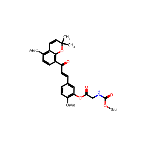 COc1ccc(C=CC(=O)c2ccc(OC)c3c2OC(C)(C)C=C3)cc1OC(=O)CNC(=O)OC(C)(C)C